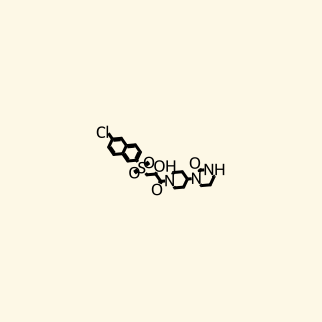 O=C(C(O)CS(=O)(=O)c1ccc2cc(Cl)ccc2c1)N1CCC(N2CCCNC2=O)CC1